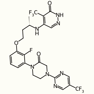 C[C@@H](CCOc1cccc(N2CCN(c3ncc(C(F)(F)F)cn3)CC2=O)c1F)Nc1cn[nH]c(=O)c1C(F)(F)F